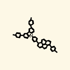 Cc1ccc(-c2ccc3c(c2)c2cc(-c4ccc(C)cc4)ccc2n3-c2ccc(-c3ccc4ccc5c(-c6ccc(C)cc6)ccc6ccc3c4c65)cc2)cc1